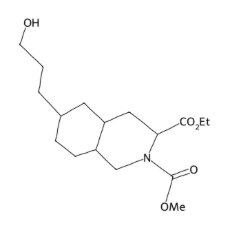 CCOC(=O)C1CC2CC(CCCO)CCC2CN1C(=O)OC